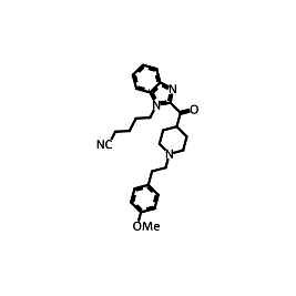 COc1ccc(CCN2CCC(C(=O)c3nc4ccccc4n3CCCCC#N)CC2)cc1